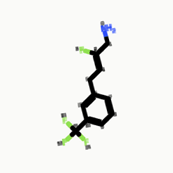 NCC(F)=CCc1cccc(C(F)(F)F)c1